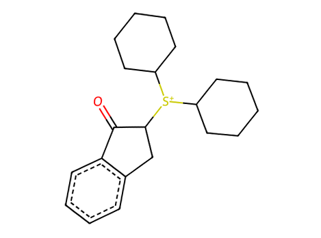 O=C1c2ccccc2CC1[S+](C1CCCCC1)C1CCCCC1